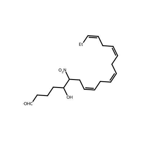 CC/C=C\C/C=C\C/C=C\C/C=C\CC(C(O)CCC[C]=O)[N+](=O)[O-]